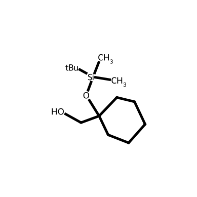 CC(C)(C)[Si](C)(C)OC1(CO)CCCCC1